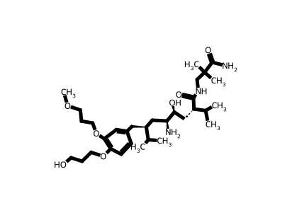 COCCCOc1cc(C[C@@H](C[C@H](N)[C@@H](O)C[C@H](C(=O)NCC(C)(C)C(N)=O)C(C)C)C(C)C)ccc1OCCCO